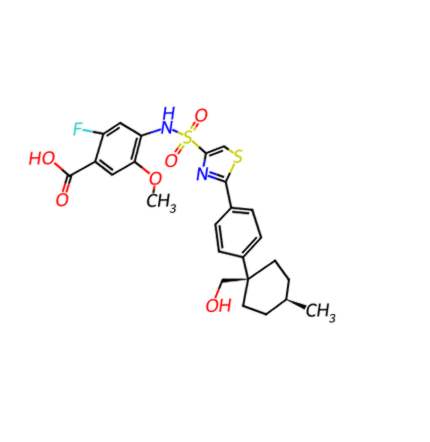 COc1cc(C(=O)O)c(F)cc1NS(=O)(=O)c1csc(-c2ccc([C@]3(CO)CC[C@@H](C)CC3)cc2)n1